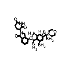 Bc1cc(C(B)(B)N2CCOCC2)cc(B)c1C(B)Oc1cccc2c1CN(C1CCC(=O)NC1=O)C2=O